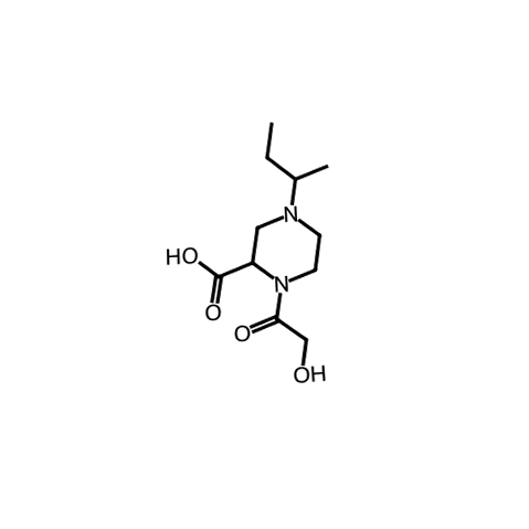 CCC(C)N1CCN(C(=O)CO)C(C(=O)O)C1